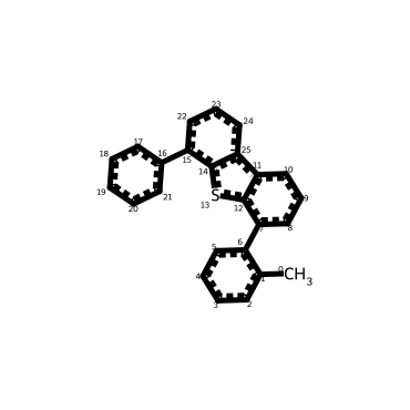 Cc1ccccc1-c1cccc2c1sc1c(-c3ccccc3)cccc12